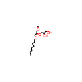 CCCCCCCCOCC(COC)OCC(O)CO